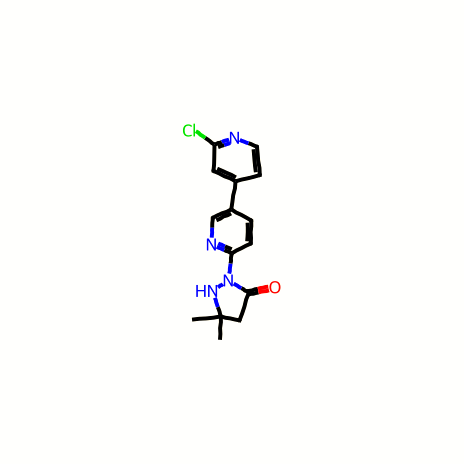 CC1(C)CC(=O)N(c2ccc(-c3ccnc(Cl)c3)cn2)N1